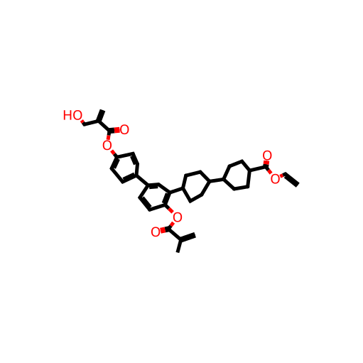 C=COC(=O)C1CCC(C2CCC(c3cc(-c4ccc(OC(=O)C(=C)CO)cc4)ccc3OC(=O)C(=C)C)CC2)CC1